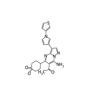 CC(=O)c1c(C2CCS(=O)(=O)CC2)nc2c(-c3ccn(-c4ccsc4)c3)cnn2c1N